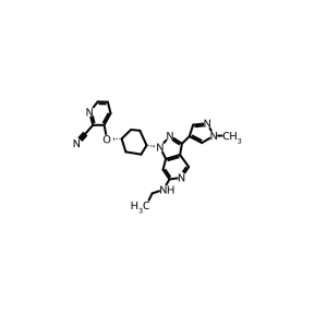 CCNc1cc2c(cn1)c(-c1cnn(C)c1)nn2[C@H]1CC[C@@H](Oc2cccnc2C#N)CC1